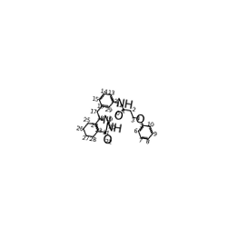 O=C(CCOc1ccccc1)Nc1cccc(Cc2n[nH]c(=O)c3c2CCCC3)c1